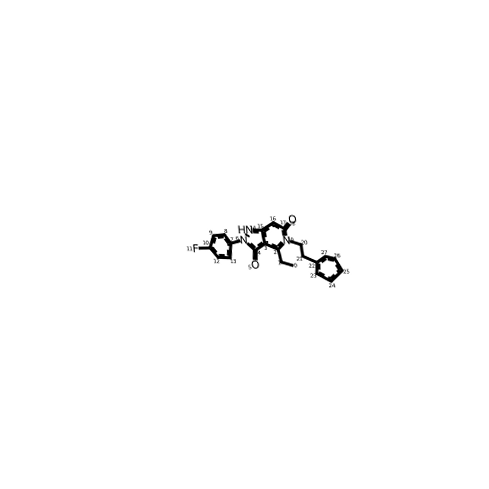 CCc1c2c(=O)n(-c3ccc(F)cc3)[nH]c2cc(=O)n1CCc1ccccc1